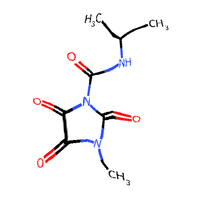 CC(C)NC(=O)N1C(=O)C(=O)N(C)C1=O